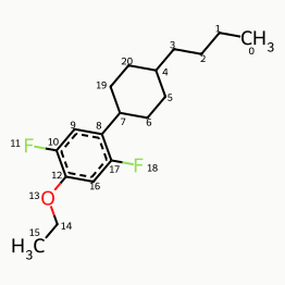 CCCCC1CCC(c2cc(F)c(OCC)cc2F)CC1